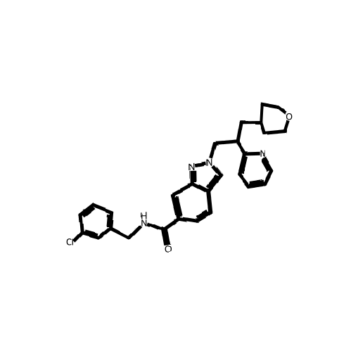 O=C(NCc1cccc(Cl)c1)c1ccc2cn(CC(CC3CCOCC3)c3ccccn3)nc2c1